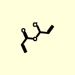 C=CC(=O)OC(Cl)C=C